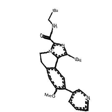 COc1cc2c(cc1-c1cccnc1)-c1c(C(C)(C)C)nc(C(=O)NCC(C)(C)C)n1CC2